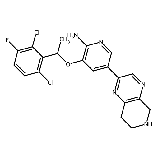 CC(Oc1cc(-c2cnc3c(n2)CCNC3)cnc1N)c1c(Cl)ccc(F)c1Cl